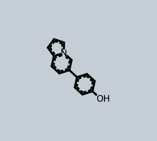 Oc1ccc(-c2ccc3cccn3c2)cc1